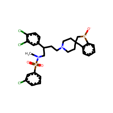 CN(CC(CCN1CCC2(CC1)C[S+]([O-])c1ccccc12)c1ccc(Cl)c(Cl)c1)S(=O)(=O)c1cccc(Cl)c1